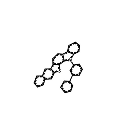 c1ccc(-c2cccc(-n3c4ccccc4c4ccc5c6cc7ccccc7cc6sc5c43)c2)cc1